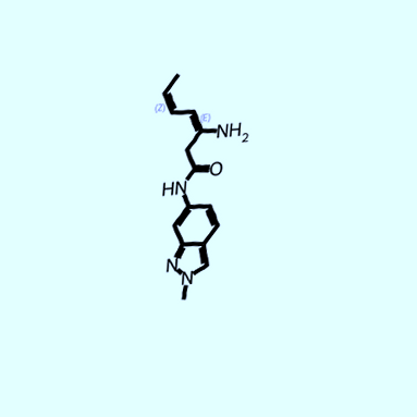 C/C=C\C=C(\N)CC(=O)Nc1ccc2cn(C)nc2c1